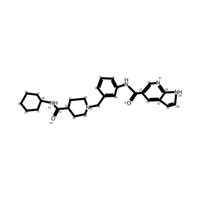 O=C(Nc1cccc(CN2CCC(C(=O)NC3CCCCC3)CC2)c1)c1cnc2[nH]ccc2c1